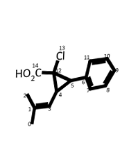 CC(C)=CC1C(c2ccccc2)C1(Cl)C(=O)O